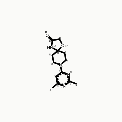 Cc1nc(I)cc(N2CCC3(CC2)NC(=O)CO3)n1